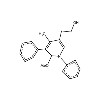 COC1C(c2ccccc2)=C(C)C(CCO)=[C]N1c1ccccc1